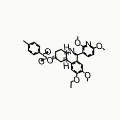 CCOc1cc2c(cc1OC)C(c1ccc(OC)nc1OC)=N[C@@H]1CC[C@@H](OS(=O)(=O)c3ccc(C)cc3)C[C@H]21